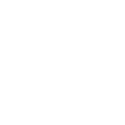 CCCOc1ccc(-c2ccc(C3(O)CCC(C(=O)OCC)CC3)cc2)cc1